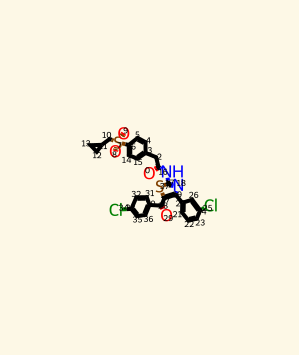 O=C(Cc1ccc(S(=O)(=O)CC2CC2)cc1)Nc1nc(-c2cccc(Cl)c2)c(C(=O)c2ccc(Cl)cc2)s1